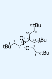 CC(C)(C)CCOP(=O)(CCC(C)(C)C)C(CCC(C)(C)C)CC(C)(C)C